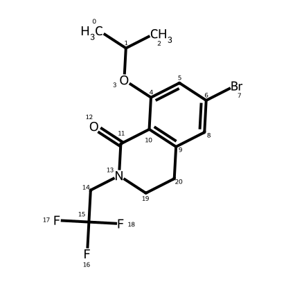 CC(C)Oc1cc(Br)cc2c1C(=O)N(CC(F)(F)F)CC2